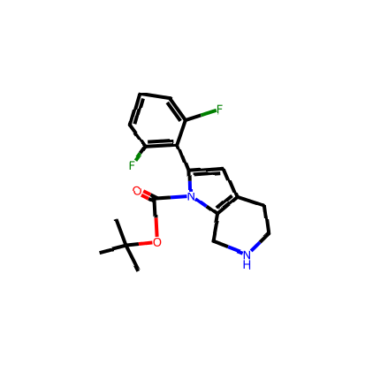 CC(C)(C)OC(=O)n1c(-c2c(F)cccc2F)cc2c1CNCC2